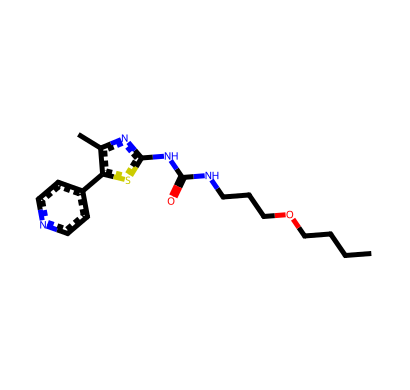 CCCCOCCCNC(=O)Nc1nc(C)c(-c2ccncc2)s1